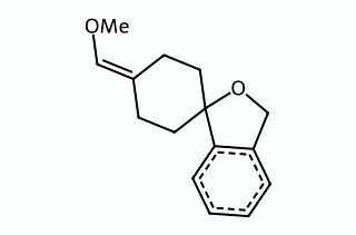 COC=C1CCC2(CC1)OCc1ccccc12